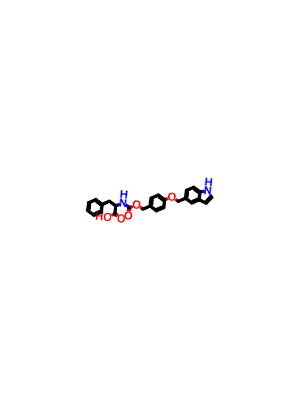 O=C(NC(Cc1ccccc1)C(=O)O)OCc1ccc(OCc2ccc3[nH]ccc3c2)cc1